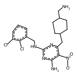 NCC1CCC(Cc2nc(NCc3cccc(Cl)c3Cl)nc(N)c2[N+](=O)[O-])CC1